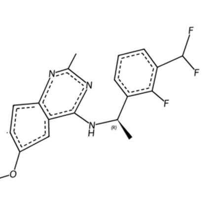 COc1[c]cc2nc(C)nc(N[C@H](C)c3cccc(C(F)F)c3F)c2c1